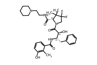 Cc1c(O)cccc1C(=O)N[C@@H](Cc1ccccc1)[C@H](O)C(=O)N1CC(F)(F)C(C)(C)[C@H]1C(=O)NCCN1CCCCC1